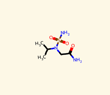 CC(C)N(CC(N)=O)S(N)(=O)=O